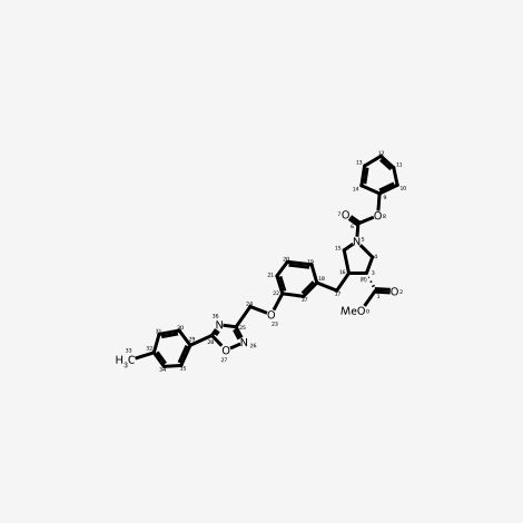 COC(=O)[C@H]1CN(C(=O)Oc2ccccc2)CC1Cc1cccc(OCc2noc(-c3ccc(C)cc3)n2)c1